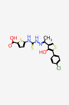 CC(=NNC(=S)Nc1ccc(C(=O)O)s1)c1csc(-c2ccc(Cl)cc2)c1O